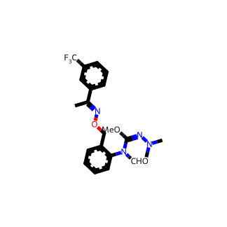 CO/C(=N/N(C)C)N(C=O)c1ccccc1CO/N=C(\C)c1cccc(C(F)(F)F)c1